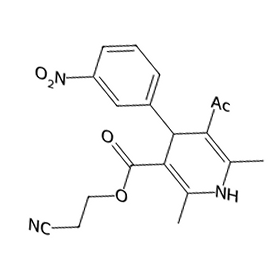 CC(=O)C1=C(C)NC(C)=C(C(=O)OCCC#N)C1c1cccc([N+](=O)[O-])c1